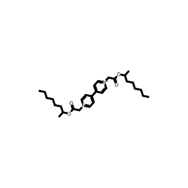 CCCCCCC(C)OC(=O)C[n+]1ccc(-c2cc[n+](CC(=O)OC(C)CCCCCC)cc2)cc1